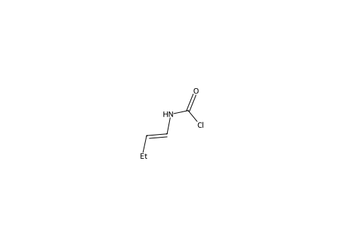 CCC=CNC(=O)Cl